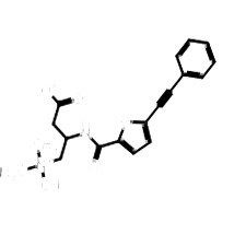 C[N+](C)(C)CC(CC(=O)[O-])NC(=O)c1ccc(C#Cc2ccccc2)o1